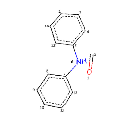 C=O.c1ccc(Nc2ccccc2)cc1